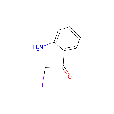 Nc1ccccc1C(=O)CI